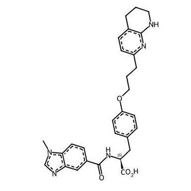 Cn1cnc2cc(C(=O)N[C@@H](Cc3ccc(OCCCc4ccc5c(n4)NCCC5)cc3)C(=O)O)ccc21